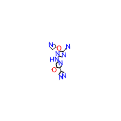 COc1cc(Nc2cnc(C#N)c(OC3CCN(C)C3)n2)ncc1-c1cnn(C)c1